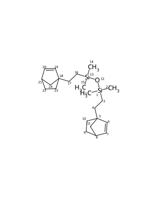 C[Si](C)(CCC12C=CC(CC1)C2)O[Si](C)(C)CCC12C=CC(CC1)C2